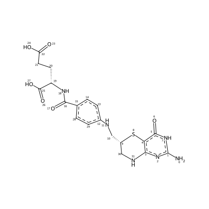 Nc1nc2c(c(=O)[nH]1)S[C@@H](CNc1ccc(C(=O)N[C@@H](CCC(=O)O)C(=O)O)cc1)CN2